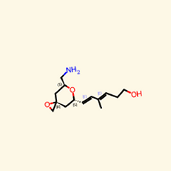 CC(/C=C/[C@@H]1C[C@]2(CO2)C[C@@H](CN)O1)=C\CCO